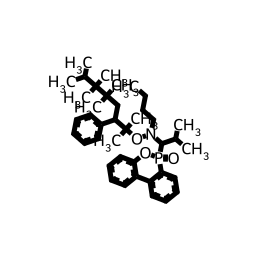 CCCCN(OC(C)(C)C(CC(C)(C)C(C)(C)C(C)C)c1ccccc1)C(C(C)C)P1(=O)Oc2ccccc2-c2ccccc21